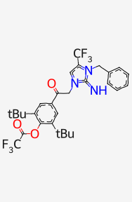 CC(C)(C)c1cc(C(=O)Cn2cc(C(F)(F)F)n(Cc3ccccc3)c2=N)cc(C(C)(C)C)c1OC(=O)C(F)(F)F